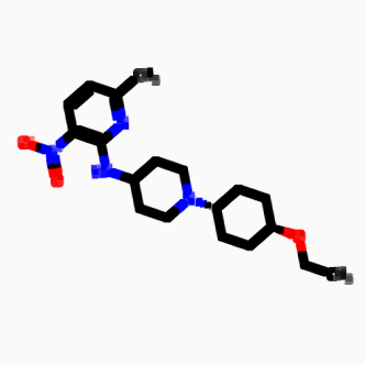 CCO[C@H]1CC[C@H](N2CCC(Nc3nc(C)ccc3[N+](=O)[O-])CC2)CC1